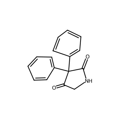 O=C1CNC(=O)C1(c1ccccc1)c1ccccc1